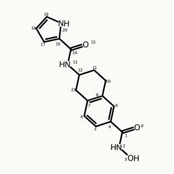 O=C(NO)c1ccc2c(c1)CCC(NC(=O)c1ccc[nH]1)C2